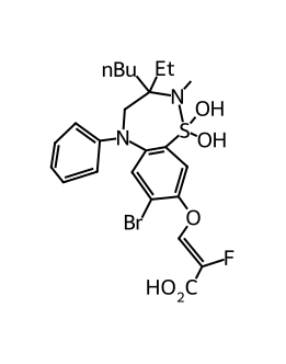 CCCCC1(CC)CN(c2ccccc2)c2cc(Br)c(O/C=C(\F)C(=O)O)cc2S(O)(O)N1C